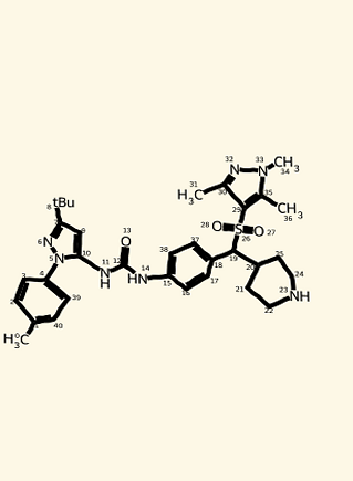 Cc1ccc(-n2nc(C(C)(C)C)cc2NC(=O)Nc2ccc(C(C3CCNCC3)S(=O)(=O)c3c(C)nn(C)c3C)cc2)cc1